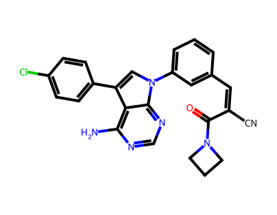 N#CC(=Cc1cccc(-n2cc(-c3ccc(Cl)cc3)c3c(N)ncnc32)c1)C(=O)N1CCC1